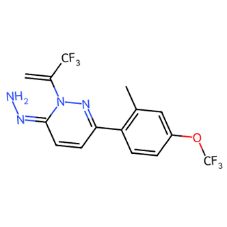 C=C(n1nc(-c2ccc(OC(F)(F)F)cc2C)cc/c1=N/N)C(F)(F)F